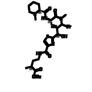 CCC(C)[C@H](NC(=O)[C@H]1CCCCN1C)C(=O)N(C)C(C[C@@H](O)c1nc(C(=O)NCC[C@H](C)C(=O)OC)cs1)C(C)C